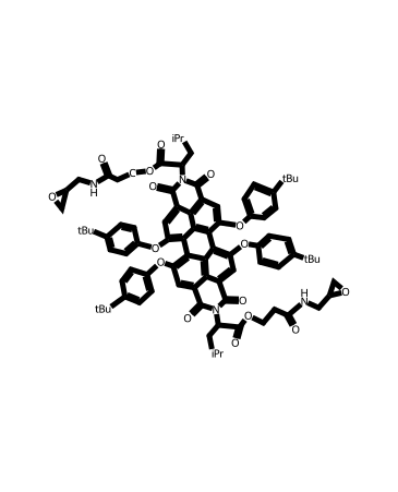 CC(C)CC(C(=O)OCCC(=O)NCC1CO1)N1C(=O)c2cc(Oc3ccc(C(C)(C)C)cc3)c3c4c(Oc5ccc(C(C)(C)C)cc5)cc5c6c(cc(Oc7ccc(C(C)(C)C)cc7)c(c7c(Oc8ccc(C(C)(C)C)cc8)cc(c2c37)C1=O)c64)C(=O)N(C(CC(C)C)C(=O)OCCC(=O)NCC1CO1)C5=O